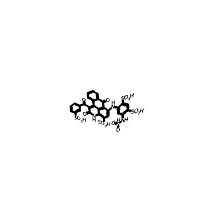 O=C(c1cccc(S(=O)(=O)O)c1)c1c2c3c(c(Nc4cc(N[SH](=O)=O)c(S(=O)(=O)O)cc4S(=O)(=O)O)cc(S(=O)(=O)O)c3[nH]c1=O)C(=O)c1ccccc1-2